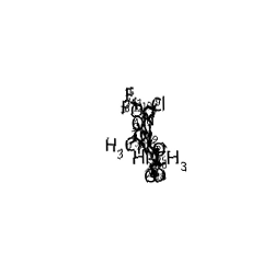 Cc1cc(Oc2ncc(Cl)cc2OCC(F)F)nn2cc(C(=O)NC3(C)CS(=O)(=O)C3)nc12